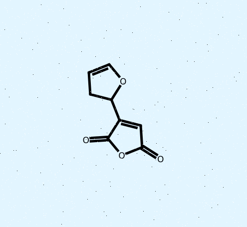 O=C1C=C(C2CC=CO2)C(=O)O1